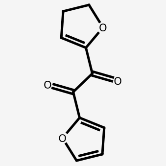 O=C(C(=O)c1ccco1)C1=CCCO1